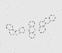 c1ccc2cc3c(ccc4c(-c5c6ccccc6c(-c6ccc7c(c6)oc6ccc8ccccc8c67)c6ccccc56)cccc43)cc2c1